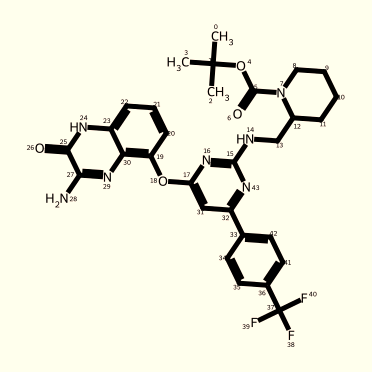 CC(C)(C)OC(=O)N1CCCCC1CNc1nc(Oc2cccc3[nH]c(=O)c(N)nc23)cc(-c2ccc(C(F)(F)F)cc2)n1